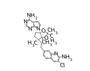 CC1(C)O[C@]2(C)[C@@](C)(CCc3ccc4cc(Cl)c(N)nc4c3)CC[C@@]2(n2ccc3c(N)ncnc32)O1